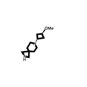 CO[C@H]1C[C@H](N2CCC3(CC2)CNC3)C1